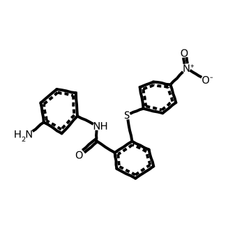 Nc1cccc(NC(=O)c2ccccc2Sc2ccc([N+](=O)[O-])cc2)c1